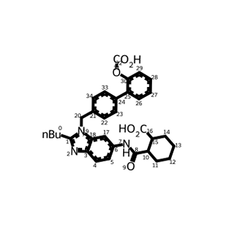 CCCCc1nc2ccc(NC(=O)C3CCCCC3C(=O)O)cc2n1Cc1ccc(-c2ccccc2OC(=O)O)cc1